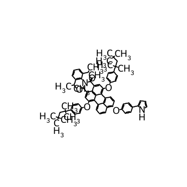 CC(C)c1cccc(C(C)C)c1N1C(=O)c2cc(Oc3ccc(C(C)(C)CC(C)(C)C)cc3)c3c4cccc5c(Oc6ccc(-c7ccc[nH]7)cc6)ccc(c6c(Oc7ccc(C(C)(C)CC(C)(C)C)cc7)cc(c2c36)C1=O)c54